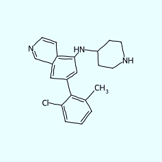 Cc1cccc(Cl)c1-c1cc(NC2CCNCC2)c2ccncc2c1